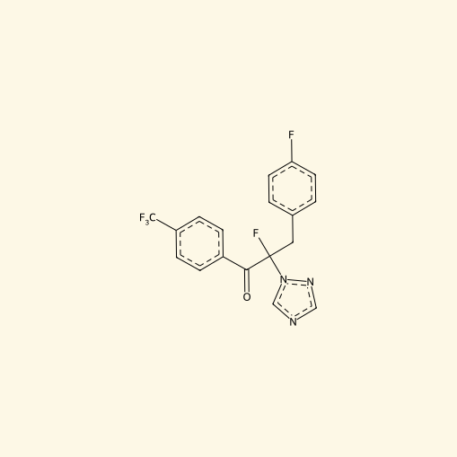 O=C(c1ccc(C(F)(F)F)cc1)C(F)(Cc1ccc(F)cc1)n1cncn1